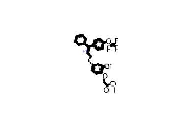 O=C(O)COc1ccc(SC/C=C(/c2ccccc2)c2ccc(OC(F)(F)F)cc2)cc1Br